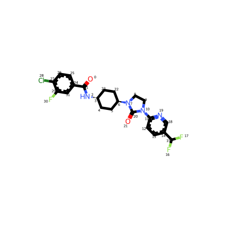 O=C(N[C@H]1CC[C@H](N2CCN(c3ccc(C(F)F)cn3)C2=O)CC1)c1ccc(Cl)c(F)c1